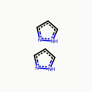 c1cn[nH]c1.c1cn[nH]c1